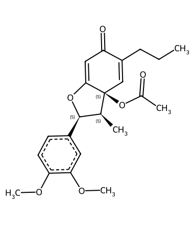 CCCC1=C[C@@]2(OC(C)=O)C(=CC1=O)O[C@H](c1ccc(OC)c(OC)c1)[C@@H]2C